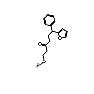 CC(C)SCCC(=O)CCC(c1ccccc1)c1ccco1